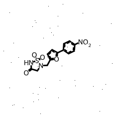 O=C1CN(Cc2ccc(-c3ccc([N+](=O)[O-])cc3)o2)S(=O)(=O)N1